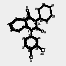 O=c1c2ccccc2n(-c2ccc(Cl)c(Cl)c2)c(=O)n1C1CCCCC1